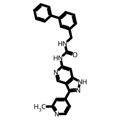 Cc1cc(-c2n[nH]c3cc(NC(=O)NCc4cccc(-c5ccccc5)c4)ncc23)ccn1